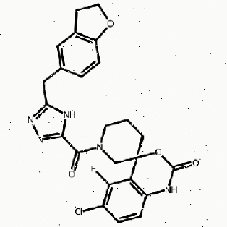 O=C1Nc2ccc(Cl)c(F)c2[C@@]2(CCCN(C(=O)c3nnc(Cc4ccc5c(c4)CCO5)[nH]3)C2)O1